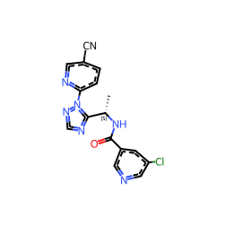 C[C@H](NC(=O)c1cncc(Cl)c1)c1ncnn1-c1ccc(C#N)cn1